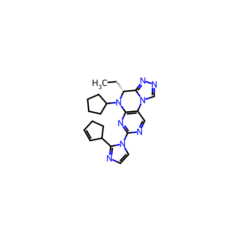 CC[C@@H]1c2nncn2-c2cnc(-n3ccnc3C3C=CCC3)nc2N1C1CCCC1